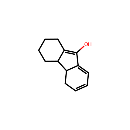 OC1=C2CCCCC2C2CC=CC=C12